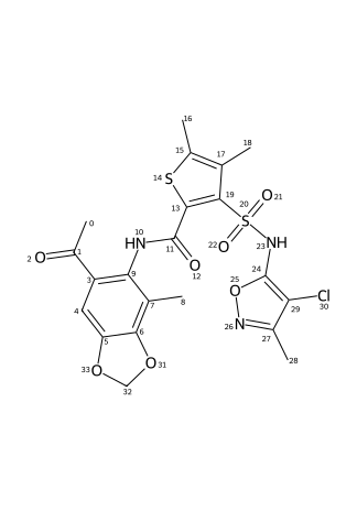 CC(=O)c1cc2c(c(C)c1NC(=O)c1sc(C)c(C)c1S(=O)(=O)Nc1onc(C)c1Cl)OCO2